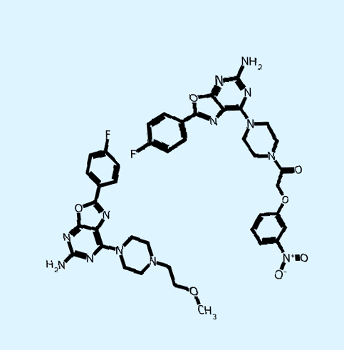 COCCN1CCN(c2nc(N)nc3oc(-c4ccc(F)cc4)nc23)CC1.Nc1nc(N2CCN(C(=O)COc3cccc([N+](=O)[O-])c3)CC2)c2nc(-c3ccc(F)cc3)oc2n1